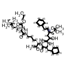 C=CCOC(=O)N[C@@H](CSSC(C)(C)C)C(=O)NCCCC[C@H](NC(=O)[C@H](Cc1ccccc1)NC(=O)C(O)C/C(=C\Cc1ccccc1)SC(C)(C)C)C(N)=O